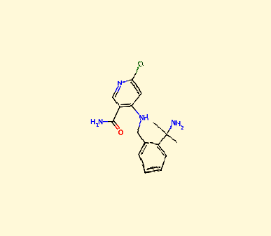 CC(C)(N)c1ccccc1CNc1cc(Cl)ncc1C(N)=O